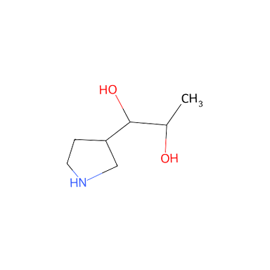 CC(O)C(O)C1CCNC1